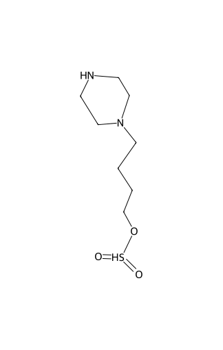 O=[SH](=O)OCCCCN1CCNCC1